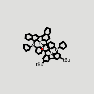 CC(C)(C)c1cc(N(c2ccccc2)c2ccccc2)c2c(c1)c1cc(C(C)(C)C)cc3c4nc5c(cc4n2c13)c1cc2ccccc2c2c3cc4ccccc4c(N(c4ccccc4)c4ccccc4)c3n5c12